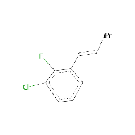 CC(C)/C=C/c1cccc(Cl)c1F